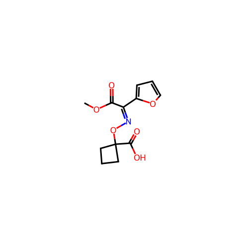 COC(=O)C(=NOC1(C(=O)O)CCC1)c1ccco1